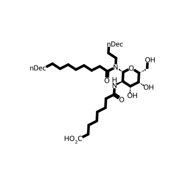 CCCCCCCCCCCCCCCCCC(=O)N(CCCCCCCCCCCC)[C@@H]1O[C@H](CO)[C@H](O)[C@H](O)[C@H]1NC(=O)CCCCCCC(=O)O